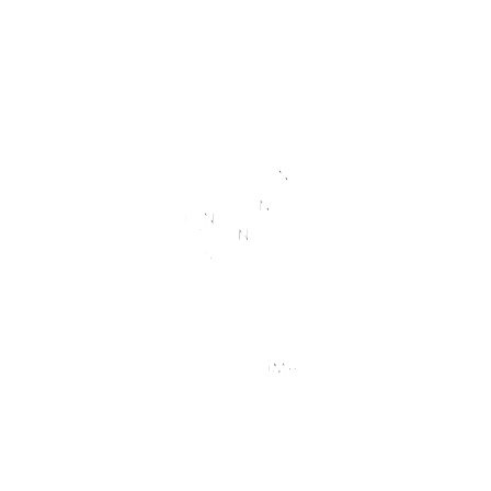 COc1ccc(C(Cc2ccc(N3CCOCC3)nc2)c2csc(N)n2)cc1